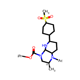 CC(=O)N1C2CCC(C3CCC(S(C)(=O)=O)CC3)NC2N(C(=O)OC(C)C)C[C@@H]1C